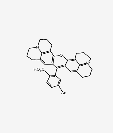 CC(=O)c1ccc(C(=O)O)c(C2=c3cc4c5c(c3Oc3c2cc2c6c3CCCN6CCC2)CCC[N+]=5CCC4)c1